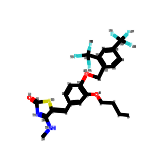 CCCCOc1cc(/C=C2\SC(=O)N=C2NC)ccc1OCc1ccc(C(F)(F)F)cc1C(F)(F)F